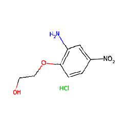 Cl.Nc1cc([N+](=O)[O-])ccc1OCCO